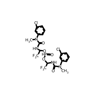 CN(C(=O)NC(O[PH](=O)OC(NC(=O)N(C)c1cccc(Cl)c1)C(F)(F)F)C(F)(F)F)c1cccc(Cl)c1